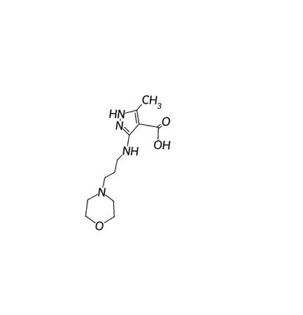 Cc1[nH]nc(NCCCN2CCOCC2)c1C(=O)O